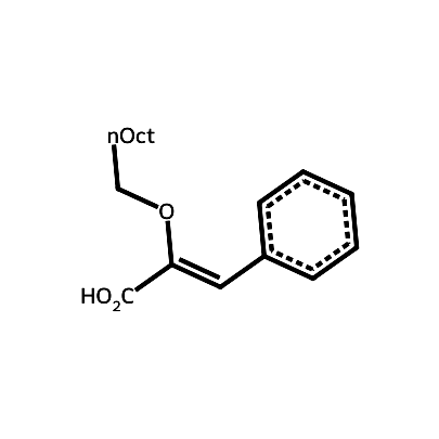 CCCCCCCCCOC(=Cc1ccccc1)C(=O)O